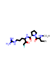 CC(C)CC(NC(=O)O)C(=O)N1CCC[C@H]1C(=O)NC(CCCNC(=N)N)C(=O)CF